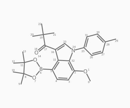 COc1ccc(B2OC(C)(C)C(C)(C)O2)c2c(C(=O)C(C)(C)C)cn(-c3ccc(C)cc3)c12